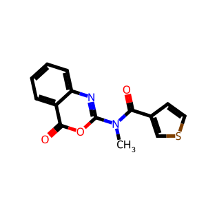 CN(C(=O)c1ccsc1)c1nc2ccccc2c(=O)o1